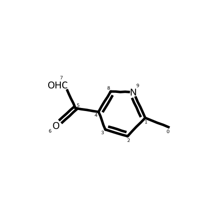 Cc1ccc(C(=O)C=O)cn1